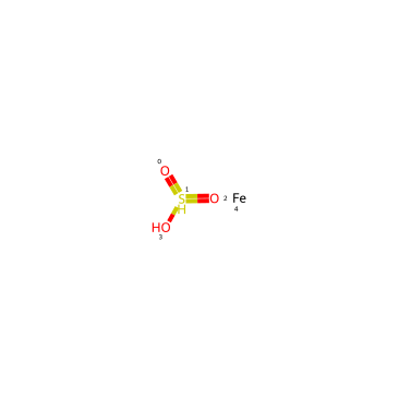 O=[SH](=O)O.[Fe]